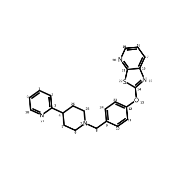 c1ccc(C2CCN(Cc3ccc(Oc4nc5cccnc5s4)cc3)CC2)nc1